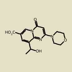 CC(O)c1cc(C(=O)O)cn2c(=O)cc(N3CCOCC3)nc12